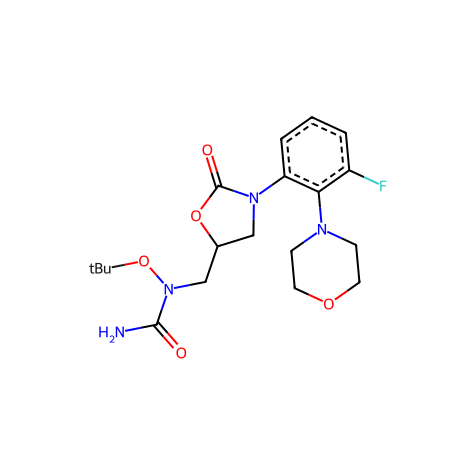 CC(C)(C)ON(CC1CN(c2cccc(F)c2N2CCOCC2)C(=O)O1)C(N)=O